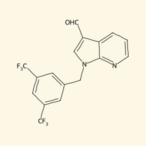 O=Cc1cn(Cc2cc(C(F)(F)F)cc(C(F)(F)F)c2)c2ncccc12